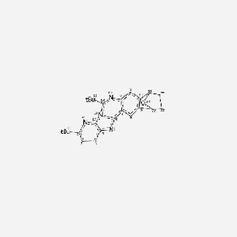 CC(C)(C)c1ccc2nc3c4cc5c(cc4nc(C(C)(C)C)n3c2n1)C1CCC5O1